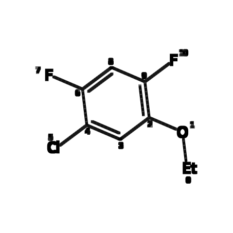 CCOc1cc(Cl)c(F)cc1F